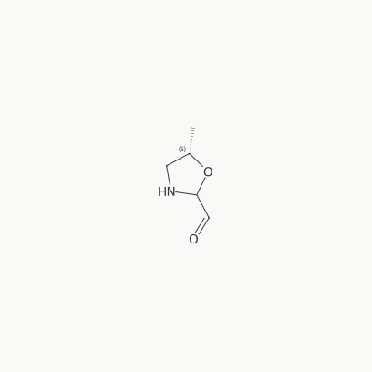 C[C@H]1CNC(C=O)O1